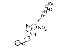 CC(C)(C)OC(=O)N1CC2C(C#Cc3cc4ncnc(Nc5ccc(Oc6ccccc6)cc5)c4cc3[N+](=O)[O-])C2C1